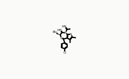 CCC(C)C[C@@H]1N=C(c2ccc(Cl)cc2)c2c(sc(C)c2C)N(C(C)=N)C1=N